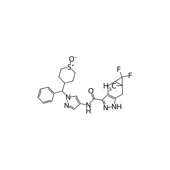 CC12Cc3[nH]nc(C(=O)Nc4cnn(C(c5ccccc5)C5CC[S+]([O-])CC5)c4)c3CC1C2(F)F